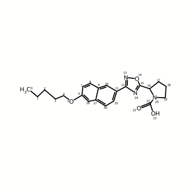 CCCCCOc1ccc2cc(-c3noc(C4CCCN4C(=O)O)n3)ccc2c1